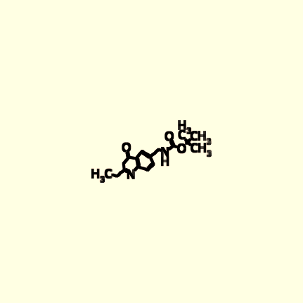 CCC1=Nc2ccc(CNC(=O)OC(C)(C)C)cc2C(=O)C1